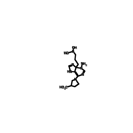 NN1C=NC(N2CCC(C(=O)O)C2)=C2NC=NC21CCCB(O)O